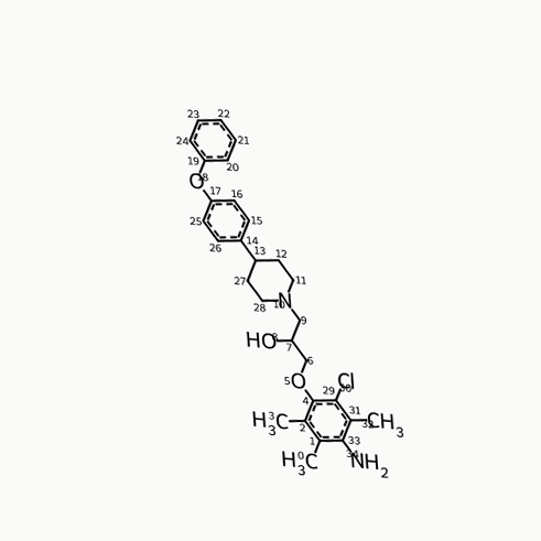 Cc1c(C)c(OCC(O)CN2CCC(c3ccc(Oc4ccccc4)cc3)CC2)c(Cl)c(C)c1N